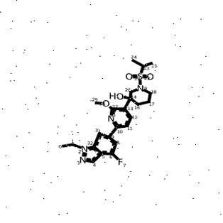 CCn1ncc2c(F)cc(-c3ccc(C4(O)CCCN(S(=O)(=O)C(C)C)C4)c(OC)n3)cc21